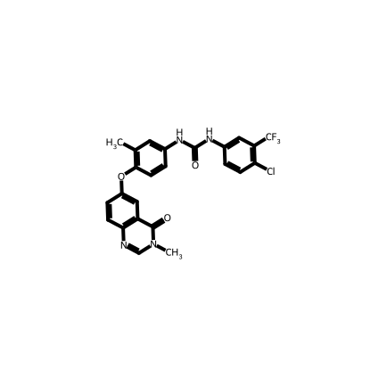 Cc1cc(NC(=O)Nc2ccc(Cl)c(C(F)(F)F)c2)ccc1Oc1ccc2ncn(C)c(=O)c2c1